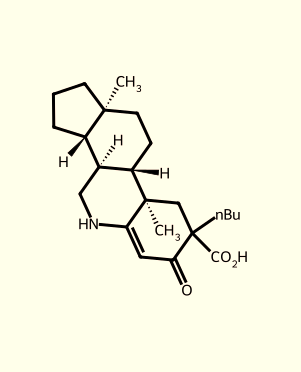 CCCCC1(C(=O)O)C[C@@]2(C)C(=CC1=O)NC[C@H]1[C@@H]3CCC[C@@]3(C)CC[C@@H]12